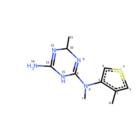 Cc1cscc1N(C)C1=NC(C)N=C(N)N1